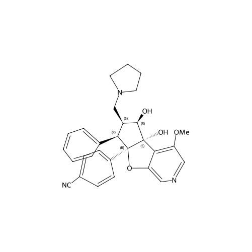 COc1cncc2c1[C@]1(O)[C@H](O)[C@H](CN3CCCC3)[C@H](c3ccccc3)[C@]1(c1ccc(C#N)cc1)O2